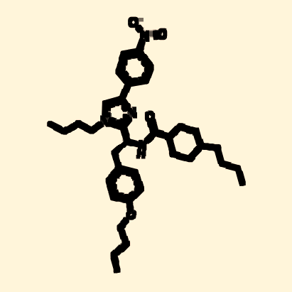 CCCCOc1ccc(C[C@H](NC(=O)C2CCC(CCCC)CC2)c2nc(-c3ccc([N+](=O)[O-])cc3)cn2CCCC)cc1